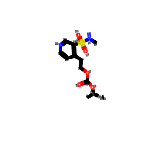 [3H]B(C)OC(=O)OCCc1ccncc1S(=O)(=O)NC